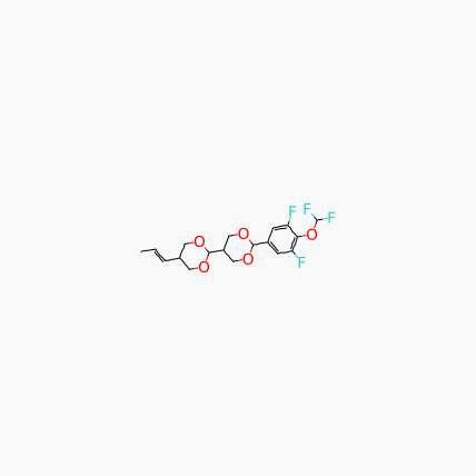 C/C=C/C1COC(C2COC(c3cc(F)c(OC(F)F)c(F)c3)OC2)OC1